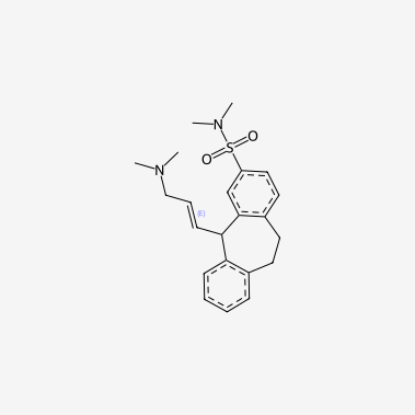 CN(C)C/C=C/C1c2ccccc2CCc2ccc(S(=O)(=O)N(C)C)cc21